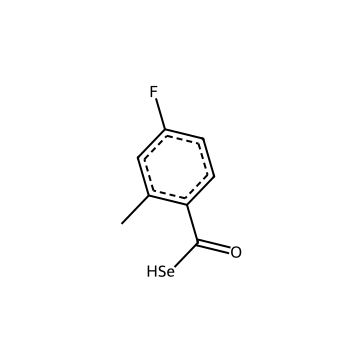 Cc1cc(F)ccc1C(=O)[SeH]